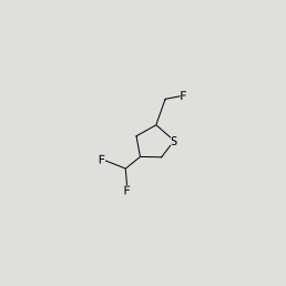 FCC1CC(C(F)F)CS1